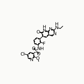 CCNc1ncc2cc(-c3cccc(NS(=O)(=O)c4cc(Cl)cnc4OC)c3F)c(=O)[nH]c2n1